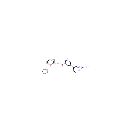 Nc1nc2cc(-c3cncc(C(=O)NCc4ccccc4OC4CCCC4)c3)ccn2n1